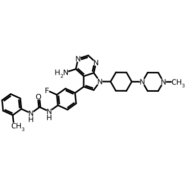 Cc1ccccc1NC(=O)Nc1ccc(-c2cn(C3CCC(N4CCN(C)CC4)CC3)c3ncnc(N)c23)cc1F